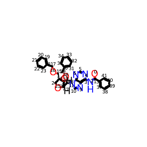 O=C(Nc1ncnc2c1ncn2[C@H]1O[C@@]2(COCc3ccccc3)CO[C@@H]1[C@@H]2OCc1ccccc1)c1ccccc1